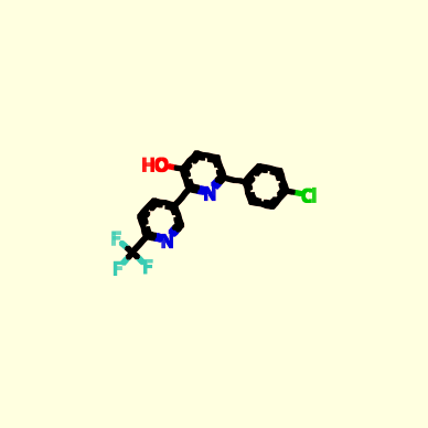 Oc1ccc(-c2ccc(Cl)cc2)nc1-c1ccc(C(F)(F)F)nc1